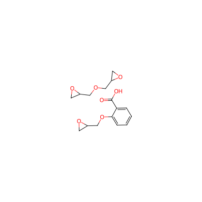 C(OCC1CO1)C1CO1.O=C(O)c1ccccc1OCC1CO1